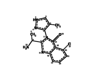 Cc1c[nH]nc1-n1c(C(C)N)nc2cccc(Cl)c2c1=O